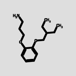 CCC(CC)COc1ccccc1OCCCN